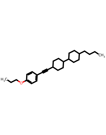 CCCCC1CCC(C2CCC(C#Cc3ccc(OCCC)cc3)CC2)CC1